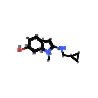 Cn1c(NCC2CC2)cc2ccc(Br)cc21